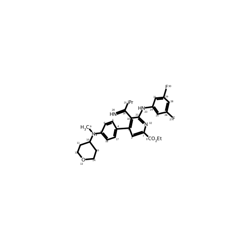 CCOC(=O)c1cc(-c2ccc(N(C)C3CCOCC3)cc2)c(C(=N)C(C)C)c(Nc2cc(F)cc(F)c2)n1